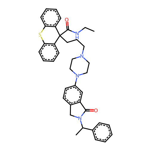 CCNC(=O)C1(CCCN2CCN(c3ccc4c(c3)C(=O)N(C(C)c3ccccc3)C4)CC2)c2ccccc2Sc2ccccc21